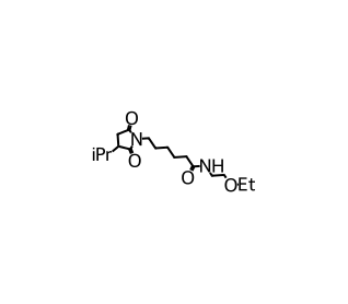 CCOCCNC(=O)CCCCCN1C(=O)CC(C(C)C)C1=O